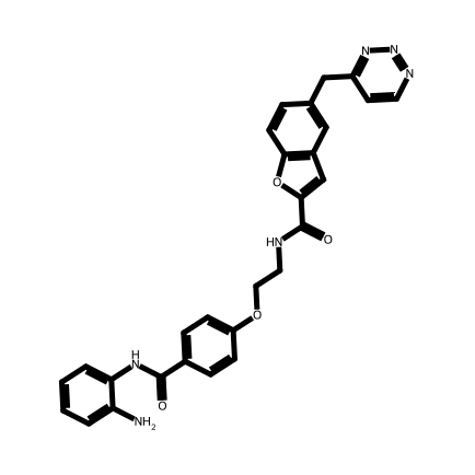 Nc1ccccc1NC(=O)c1ccc(OCCNC(=O)c2cc3cc(Cc4ccnnn4)ccc3o2)cc1